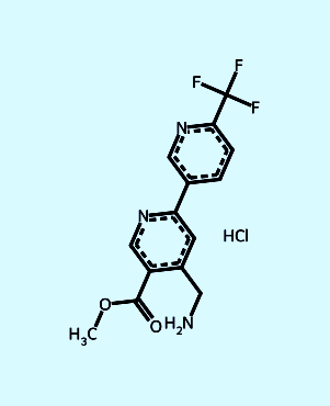 COC(=O)c1cnc(-c2ccc(C(F)(F)F)nc2)cc1CN.Cl